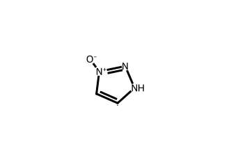 [O-][n+]1c[c][nH]n1